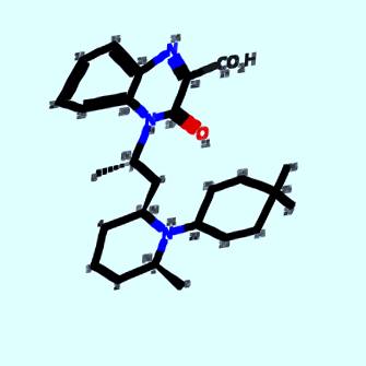 C[C@H]1CCC[C@@H](C[C@H](C)n2c(=O)c(C(=O)O)nc3ccccc32)N1C1CCC(C)(C)CC1